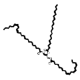 CC/C=C\C/C=C\C/C=C\CCCCCCCC(=O)OC[C@H](COC(=O)CCCCCCCCCCC/C=C\C/C=C\CCCCC)OC(=O)CCCCCCCCCCCCCCCCCCC